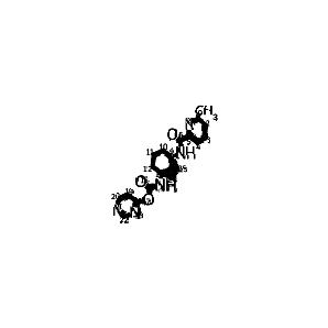 Cc1cccc(C(=O)N[C@@]23CCC[C@@](NC(=O)Oc4ccncn4)(CC2)C3)n1